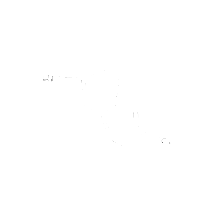 O=C1CC=C2C=C(Br)CCC2=N1